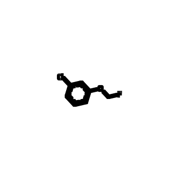 FCOc1cccc(Cl)c1